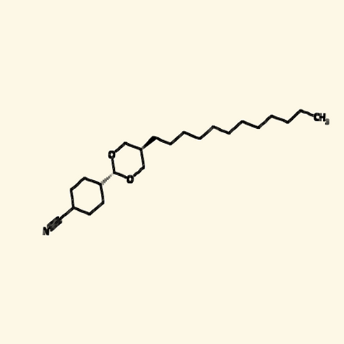 CCCCCCCCCCCC[C@H]1CO[C@H](C2CCC(C#N)CC2)OC1